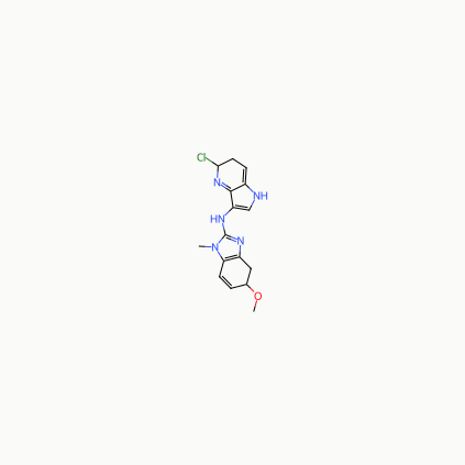 COC1C=Cc2c(nc(Nc3c[nH]c4c3=NC(Cl)CC=4)n2C)C1